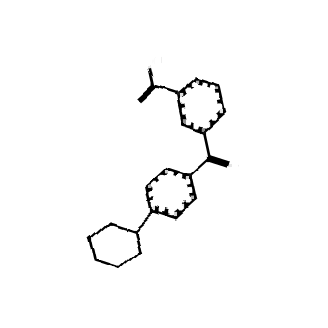 O=C(O)c1cccc(C(=O)c2ccc(C3CCCCC3)cc2)c1